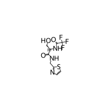 O=C(NCc1nccs1)[C@@H](CO)NC(=O)C(F)(F)F